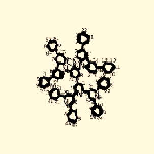 N#Cc1c(-n2c3ccc(-c4ccccc4)cc3c3cc(-c4ccccc4)ccc32)cc(-c2cc(-c3cc(-c4ccccc4)nc(-c4ccccc4)c3)nc(-c3cc(-c4ccccc4)nc(-c4ccccc4)c3)c2)cc1-n1c2ccc(-c3ccccc3)cc2c2cc(-c3ccccc3)ccc21